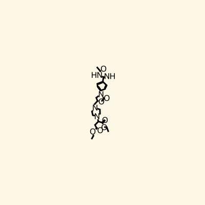 CCOC(=O)CC(C(=O)OCC)N1CCN(CC2CN(c3ccc(C(=N)NC(C)=O)cc3)C(=O)O2)CC1